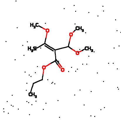 CCCOC(=O)C(=C([SiH3])OC)C(OC)OC